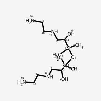 C[Si](C)(O[Si](C)(C)C(O)CNCCN)C(O)CNCCN